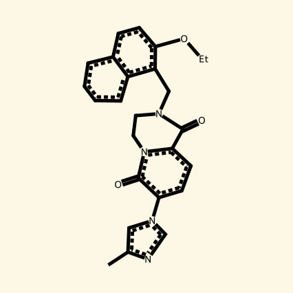 CCOc1ccc2ccccc2c1CN1CCn2c(ccc(-n3cnc(C)c3)c2=O)C1=O